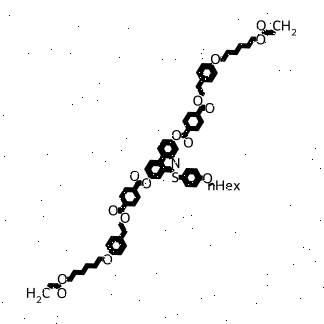 C=CC(=O)OCCCCCCOc1ccc(CCOC(=O)C2CCC(C(=O)Oc3ccc4c(c3)nc(Sc3ccc(OCCCCCC)cc3)c3cc(OC(=O)C5CCC(C(=O)OCCc6ccc(OCCCCCCOC(=O)C=C)cc6)CC5)ccc34)CC2)cc1